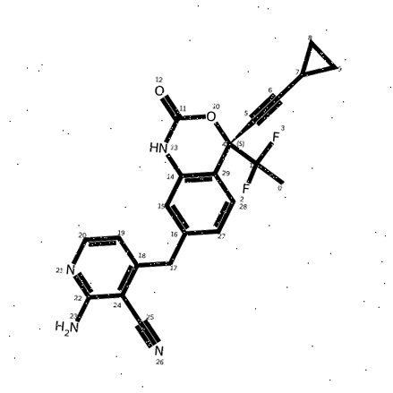 CC(F)(F)[C@@]1(C#CC2CC2)OC(=O)Nc2cc(Cc3ccnc(N)c3C#N)ccc21